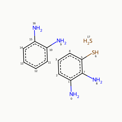 Nc1cccc(S)c1N.Nc1ccccc1N.S